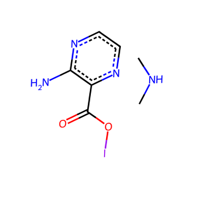 CNC.Nc1nccnc1C(=O)OI